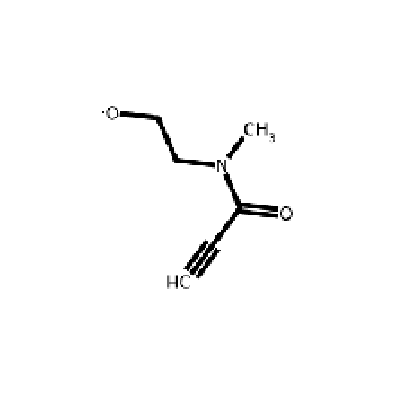 C#CC(=O)N(C)CC[O]